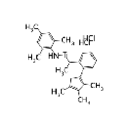 CC1=C(C)C(C)=C(c2ccccc2[CH](C)[Ti][NH]c2c(C)cc(C)cc2C)C1.Cl.Cl